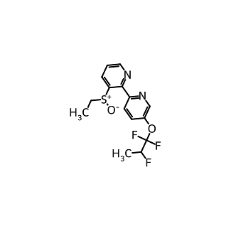 CC[S+]([O-])c1cccnc1-c1ccc(OC(F)(F)C(C)F)cn1